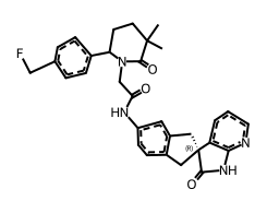 CC1(C)CCC(c2ccc(CF)cc2)N(CC(=O)Nc2ccc3c(c2)C[C@@]2(C3)C(=O)Nc3ncccc32)C1=O